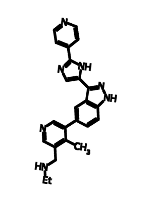 CCNCc1cncc(-c2ccc3[nH]nc(-c4cnc(-c5ccncc5)[nH]4)c3c2)c1C